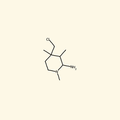 CC1C(N)N(C)CCC1(C)CCl